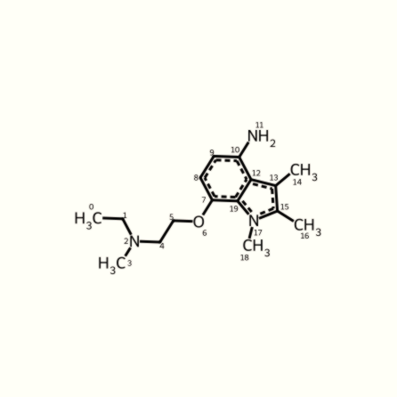 CCN(C)CCOc1ccc(N)c2c(C)c(C)n(C)c12